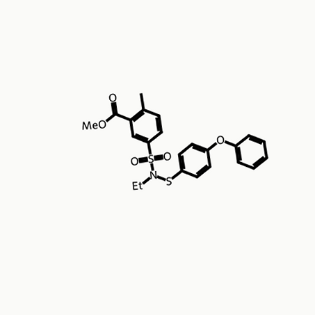 CCN(Sc1ccc(Oc2ccccc2)cc1)S(=O)(=O)c1ccc(C)c(C(=O)OC)c1